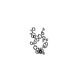 C=C(Cl)/C(C[C@H](OC(=O)COC(=O)c1ccc(OC)c(N(CCN2CCOCC2)S(C)(=O)=O)c1)c1ccc(OC(F)F)c(OCC2CC2)c1)=C(\C)Cl